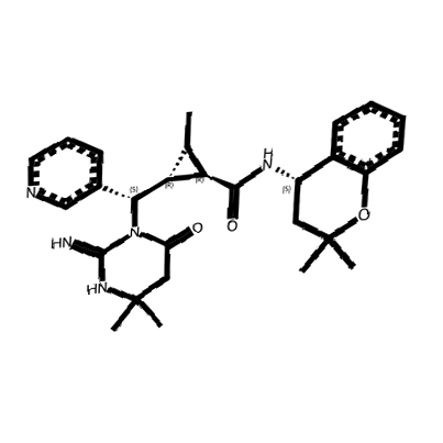 CC1[C@@H]([C@@H](c2cccnc2)N2C(=N)NC(C)(C)CC2=O)[C@@H]1C(=O)N[C@H]1CC(C)(C)Oc2ccccc21